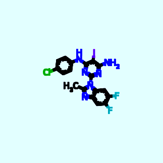 Cc1nc2cc(F)c(F)cc2n1-c1nc(N)c(I)c(Nc2ccc(Cl)cc2)n1